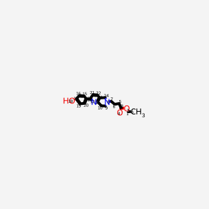 CCOC(=O)CCCN1CCc2nc(-c3ccc(O)cc3)ccc2C1